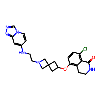 O=C1NCCc2c(OC3CC4(C3)CN(CCNc3ccn5cnnc5c3)C4)ccc(Cl)c21